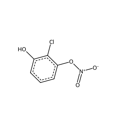 O=[N+]([O-])Oc1cccc(O)c1Cl